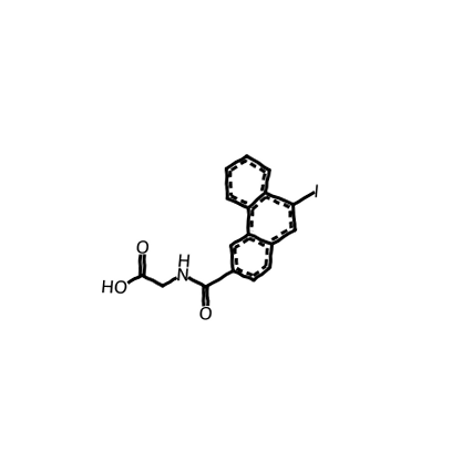 O=C(O)CNC(=O)c1ccc2cc(I)c3ccccc3c2c1